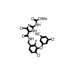 COC(=O)Nc1nc(Cl)c(C(=O)NCc2ccc(Cl)c(Oc3cc(Cl)cc(C#N)c3)c2F)[nH]1